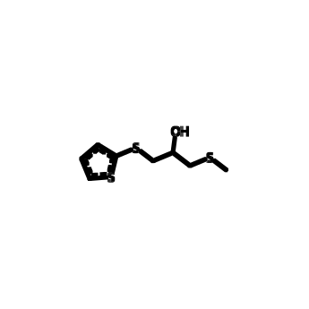 CSCC(O)CSc1cccs1